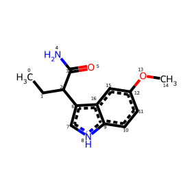 CCC(C(N)=O)c1c[nH]c2ccc(OC)cc12